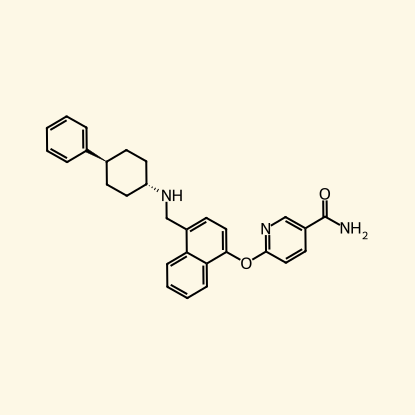 NC(=O)c1ccc(Oc2ccc(CN[C@H]3CC[C@H](c4ccccc4)CC3)c3ccccc23)nc1